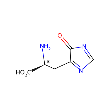 N[C@@H](CC1=NC=NC1=O)C(=O)O